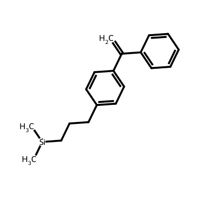 C=C(c1ccccc1)c1ccc(CCC[Si](C)C)cc1